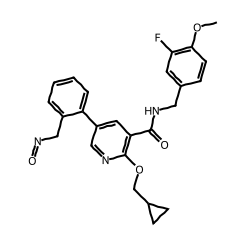 COc1ccc(CNC(=O)c2cc(-c3ccccc3CN=O)cnc2OCC2CC2)cc1F